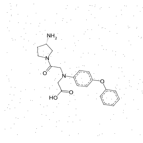 N[C@H]1CCN(C(=O)CN(CC(=O)O)c2ccc(Oc3ccccc3)cc2)C1